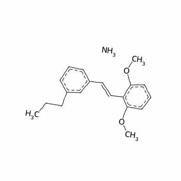 CCCc1cccc(C=Cc2c(OC)cccc2OC)c1.N